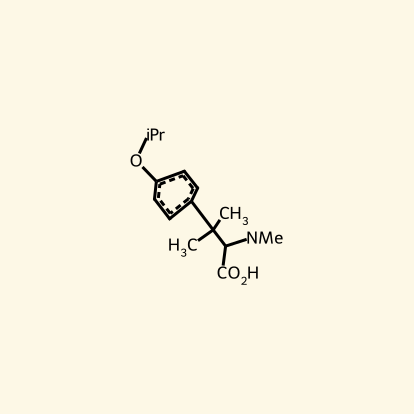 CNC(C(=O)O)C(C)(C)c1ccc(OC(C)C)cc1